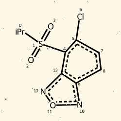 CC(C)S(=O)(=O)c1c(Cl)ccc2nonc12